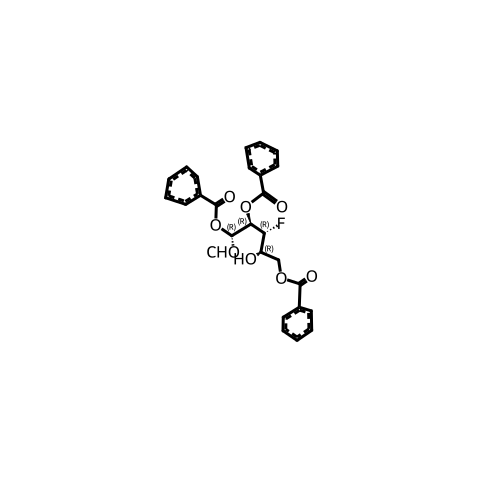 O=C[C@H](OC(=O)c1ccccc1)[C@@H](OC(=O)c1ccccc1)[C@H](F)[C@H](O)COC(=O)c1ccccc1